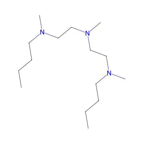 CCCCN(C)CCN(C)CCN(C)CCCC